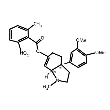 COc1ccc([C@@]23CCC(OC(=O)c4c(C)cccc4[N+](=O)[O-])=C[C@@H]2N(C)CC3)cc1OC